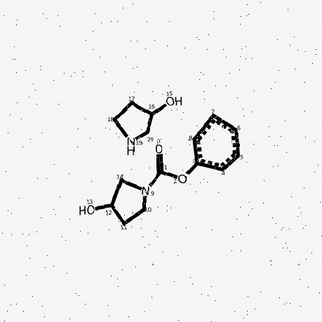 O=C(Oc1ccccc1)N1CCC(O)C1.OC1CCNC1